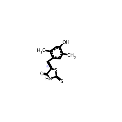 Cc1cc(/C=C2\SC(=S)NC2=O)c(C)cc1O